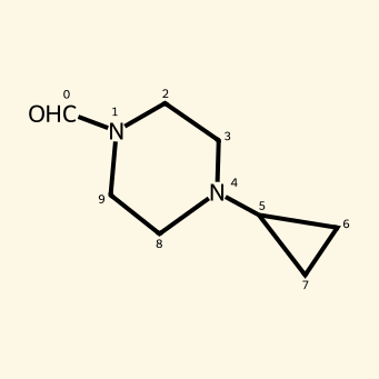 O=CN1CCN(C2CC2)CC1